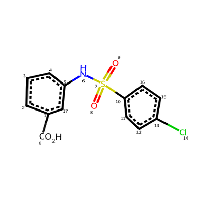 O=C(O)c1cccc(NS(=O)(=O)c2ccc(Cl)cc2)c1